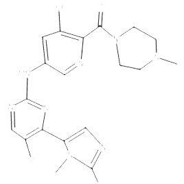 Cc1ncc(-c2nc(Nc3cnc(C(=O)N4CCN(C)CC4)c(Cl)c3)ncc2F)n1C